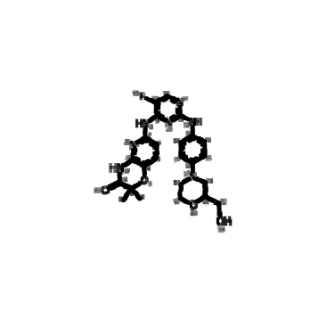 CC1(C)Oc2ccc(Nc3nc(Nc4ccc(N5CCOC(CO)C5)cc4)ncc3F)nc2NC1=O